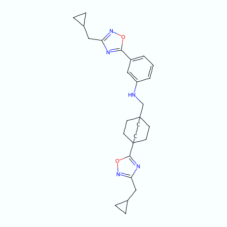 c1cc(NCC23CCC(c4nc(CC5CC5)no4)(CC2)CC3)cc(-c2nc(CC3CC3)no2)c1